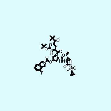 C=C[C@@H]1C[C@]1(NC(=O)[C@@H]1C[C@@H](OC(=O)N2Cc3cccc(F)c3C2)CN1C(=O)[C@H](CCC(=O)C(C)(C)C)NC(=O)OC(C)(C)C)C(=O)NS(=O)(=O)C1CC1